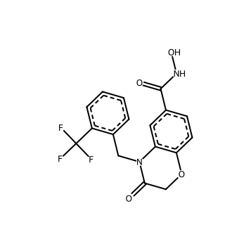 O=C(NO)c1ccc2c(c1)N(Cc1ccccc1C(F)(F)F)C(=O)CO2